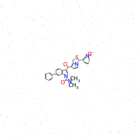 CN(C)C(=O)n1cc(C(=O)c2ccn3c2CSC3c2ccc[n+]([O-])c2)c2ccc(-c3ccccc3)cc21